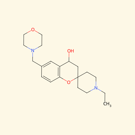 CCN1CCC2(CC1)CC(O)c1cc(CN3CCOCC3)ccc1O2